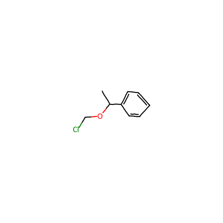 CC(OCCl)c1ccccc1